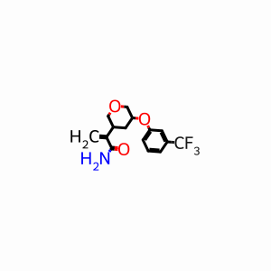 C=C(C(N)=O)C1COCC(Oc2cccc(C(F)(F)F)c2)C1